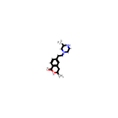 CC1Cc2cc(CCN3CCNC(C(F)(F)F)C3)ccc2C(=O)O1